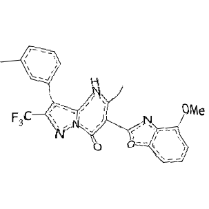 COc1cccc2oc(-c3c(C)[nH]c4c(-c5cccc(C)c5)c(C(F)(F)F)nn4c3=O)nc12